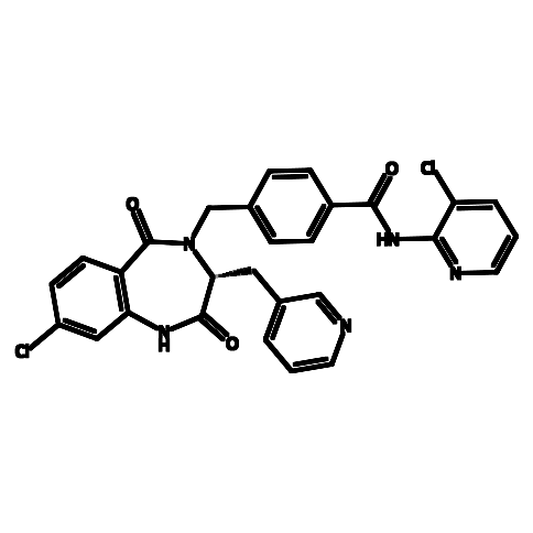 O=C(Nc1ncccc1Cl)c1ccc(CN2C(=O)c3ccc(Cl)cc3NC(=O)[C@H]2Cc2cccnc2)cc1